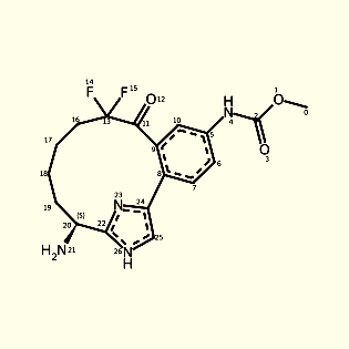 COC(=O)Nc1ccc2c(c1)C(=O)C(F)(F)CCCC[C@H](N)c1nc-2c[nH]1